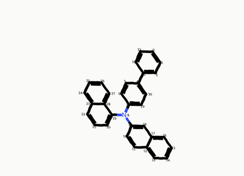 c1ccc(-c2ccc(N(c3ccc4ccccc4c3)c3cccc4ccccc34)cc2)cc1